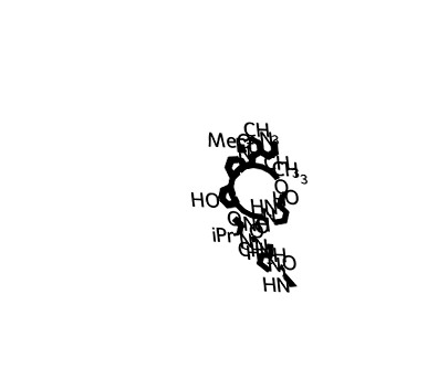 CCn1c(-c2cccnc2[C@H](C)OC)c2c3cc(ccc31)-c1cc(O)cc(c1)C[C@H](NC(=O)[C@H](C(C)C)N(C)C(=O)N1C[C@@H]3[C@H]1CCN3C(=O)[C@H]1CN1)C(=O)N1CCC[C@H](N1)C(=O)OCC(C)(C)C2